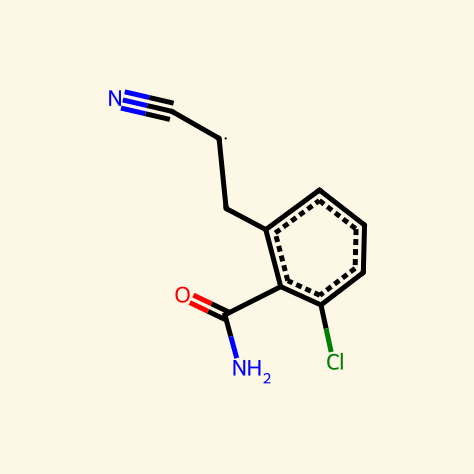 N#C[CH]Cc1cccc(Cl)c1C(N)=O